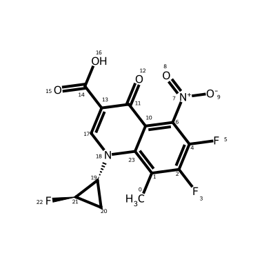 Cc1c(F)c(F)c([N+](=O)[O-])c2c(=O)c(C(=O)O)cn([C@@H]3C[C@H]3F)c12